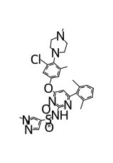 Cc1cccc(C)c1-c1cc(Oc2cc(C)c(N3CCN(C)CC3)c(Cl)c2)nc(NS(=O)(=O)c2cnn(C)c2)n1